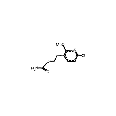 COc1nc(Cl)ccc1CCOC(N)=O